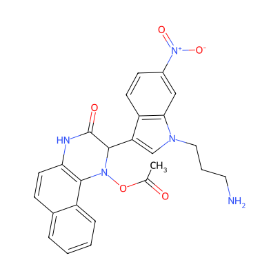 CC(=O)ON1c2c(ccc3ccccc23)NC(=O)C1c1cn(CCCN)c2cc([N+](=O)[O-])ccc12